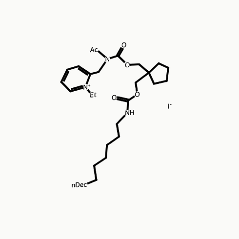 CCCCCCCCCCCCCCCCNC(=O)OCC1(COC(=O)N(Cc2cccc[n+]2CC)C(C)=O)CCCC1.[I-]